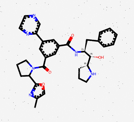 Cc1coc(C2CCCN2C(=O)c2cc(C(=O)N[C@@H](Cc3ccccc3)[C@H](O)[C@H]3CCCN3)cc(-c3cnccn3)c2)n1